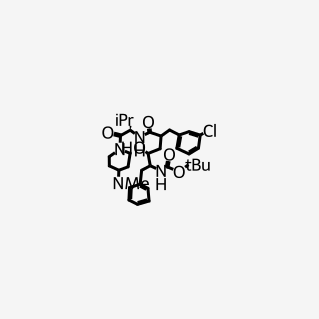 CNC1CCN(C(=O)[C@@H](NC(=O)C(Cc2cccc(Cl)c2)CC(O)C(Cc2ccccc2)NC(=O)OC(C)(C)C)C(C)C)CC1